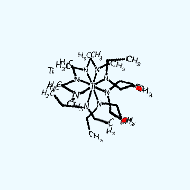 CC[N](CC)[Ti]([N](C)C)([N](C)C)([N](C)C)([N](C)C)([N](CC)CC)([N](CC)CC)[N](CC)CC.[Ti]